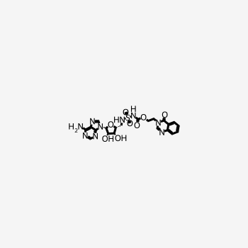 Nc1ncnc2c1ncn2[C@@H]1O[C@H](CNS(=O)(=O)NC(=O)OCCn2cnc3ccccc3c2=O)[C@@H](O)[C@H]1O